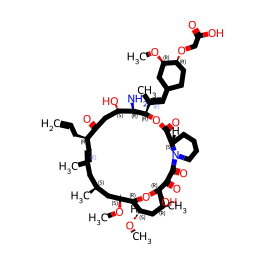 C=CC[C@@H]1/C=C(\C)C[C@H](C)C[C@H](OC)[C@H]2O[C@@](O)(C(=O)C(=O)N3CCCC[C@H]3C(=O)O[C@H](/C(C)=C/C3CC[C@@H](OCC(=O)O)[C@H](OC)C3)[C@H](N)[C@@H](O)CC1=O)[C@H](C)C[C@@H]2OC